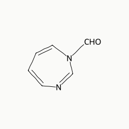 O=CN1C=CC=CN=C1